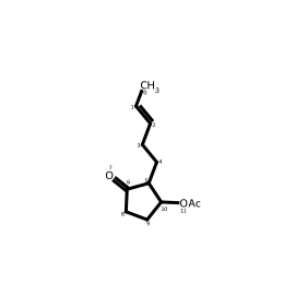 C/C=C/CCC1C(=O)CCC1OC(C)=O